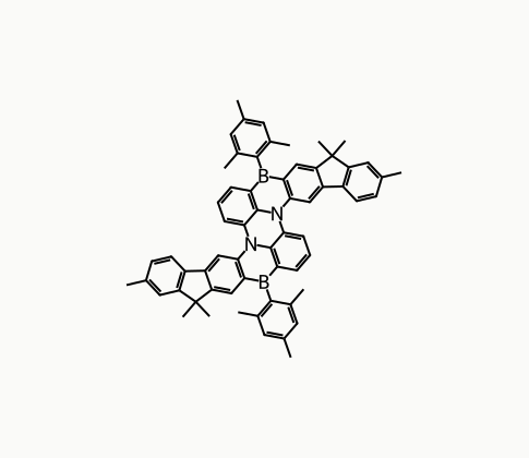 Cc1cc(C)c(B2c3cc4c(cc3N3c5cccc6c5N(c5cc7c(cc5B6c5c(C)cc(C)cc5C)C(C)(C)c5cc(C)ccc5-7)c5cccc2c53)-c2ccc(C)cc2C4(C)C)c(C)c1